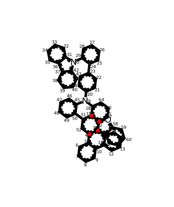 c1cc(-c2cc3ccccc3c3ccccc23)cc(N(c2ccc(-c3ccccc3-n3c4ccccc4c4ccccc43)cc2)c2ccccc2-c2ccc3c(c2)oc2ccccc23)c1